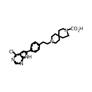 O=C(O)N1CCC2(CCN(CCc3ccc(-c4cc5c(Cl)ncnc5[nH]4)cc3)CC2)CC1